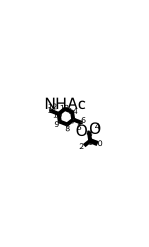 C=C(C)C(=O)OCC1CCC(CNC(C)=O)CC1